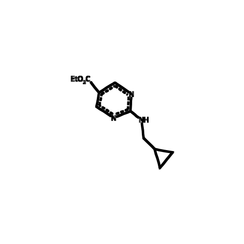 CCOC(=O)c1cnc(NCC2CC2)nc1